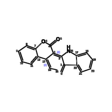 C=c1/c(=c2/c(=O)oc3ccccc3/c2=C/C)[nH]c2ccccc12